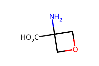 NC1(C(=O)O)COC1